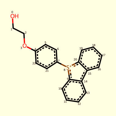 OCCOc1ccc(-[s+]2c3ccccc3c3ccccc32)cc1